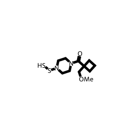 COCC1(C(=O)N2CCN(SS)CC2)CCC1